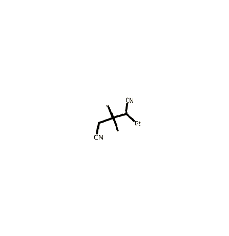 CCC(C#N)C(C)(C)CC#N